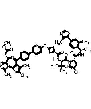 COC(=O)C[C@@H]1N=C(c2ccc(-c3ccc(O[C@H]4C[C@H](C(=O)N[C@H](C(=O)N5C[C@H](O)C[C@H]5C(=O)N[C@@H](C)C5C=CC(c6scnc6C)=CC5C)C(C)(C)C)C4)nc3)cc2)c2c(sc(C)c2C)-n2c(C)nnc21